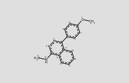 COc1ccc(-c2nnc(NN)c3ccccc23)cc1